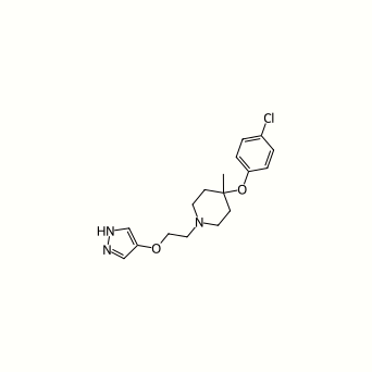 CC1(Oc2ccc(Cl)cc2)CCN(CCOc2cn[nH]c2)CC1